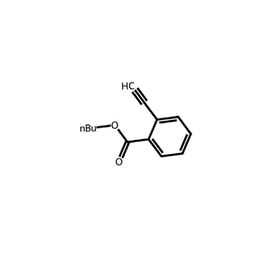 C#Cc1ccccc1C(=O)OCCCC